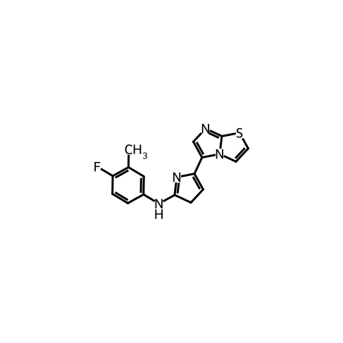 Cc1cc(NC2=NC(c3cnc4sccn34)=CC2)ccc1F